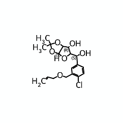 C=CCOCc1cc([C@H](O)C2O[C@H]3OC(C)(C)OC3[C@@H]2O)ccc1Cl